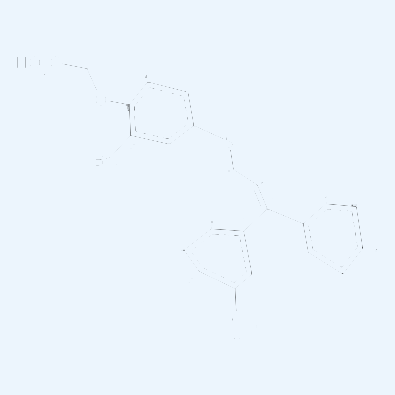 O=C(O)COc1ccc(SCC=C(c2ccccc2)c2cccc(C(F)(F)F)c2)cc1Br